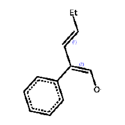 CC/C=C/C(=C/[O])c1ccccc1